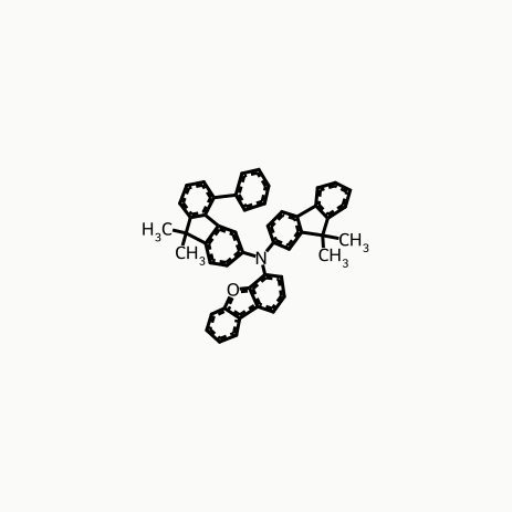 CC1(C)c2ccccc2-c2ccc(N(c3ccc4c(c3)-c3c(-c5ccccc5)cccc3C4(C)C)c3cccc4c3oc3ccccc34)cc21